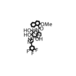 COc1ccc2ccccc2c1C(=O)N[C@@H]1CCO[C@]12O[C@H](CO)[C@H](O)[C@H](n1cc(-c3cc(F)c(F)c(F)c3)nn1)[C@H]2O